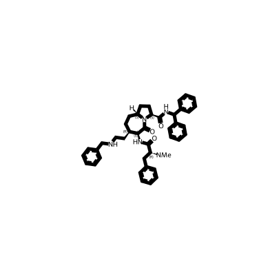 CN[C@H](Cc1ccccc1)C(=O)N[C@@H]1C(=O)N2[C@@H](CC[C@@H]1CCNCc1ccccc1)CC[C@H]2C(=O)NC(c1ccccc1)c1ccccc1